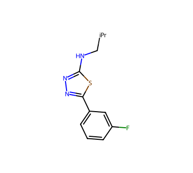 CC(C)CNc1nnc(-c2cccc(F)c2)s1